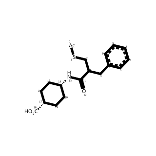 CC(=O)SCC(Cc1ccccc1)C(=O)N[C@H]1CC[C@@H](C(=O)O)CC1